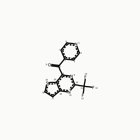 O=C(c1ccncc1)c1nc(C(F)(F)F)nc2ccsc12